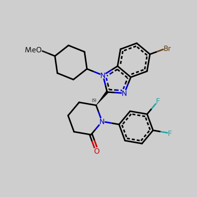 COC1CCC(n2c([C@@H]3CCCC(=O)N3c3ccc(F)c(F)c3)nc3cc(Br)ccc32)CC1